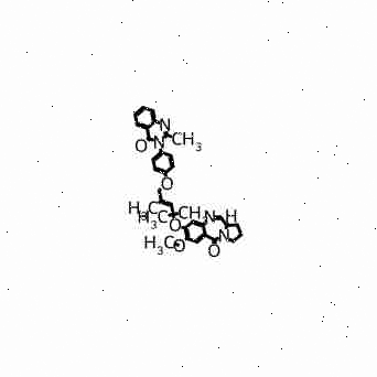 COc1cc2c(cc1OC(C)(C)/C=C(\C)COc1ccc(-n3c(C)nc4ccccc4c3=O)cc1)N=C[C@@H]1CCCN1C2=O